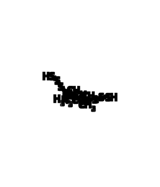 Cc1cc(C(C)(C)c2cc(C)c(OCCCSCCSCCS)c(C)c2)cc(C)c1OCCCSCCSCCS